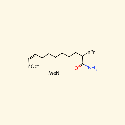 CCCCCCCC/C=C\CCCCCCC(CCC)C(N)=O.CNC